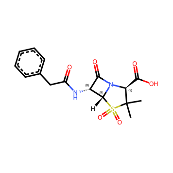 CC1(C)[C@H](C(=O)O)N2C(=O)[C@@H](NC(=O)Cc3ccccc3)[C@H]2S1(=O)=O